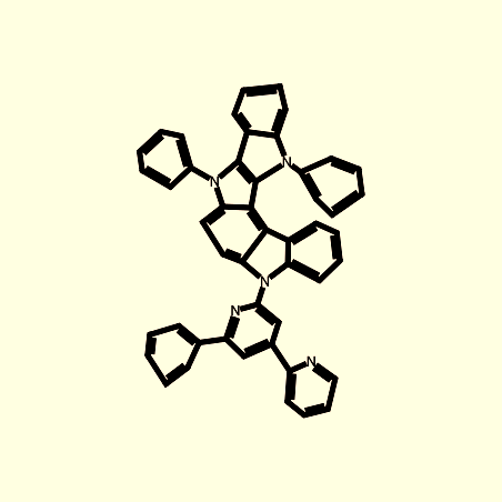 c1ccc(-c2cc(-c3ccccn3)cc(-n3c4ccccc4c4c5c(ccc43)n(-c3ccccc3)c3c4ccccc4n(-c4ccccc4)c53)n2)cc1